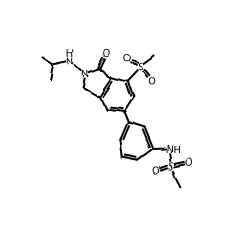 CC(C)NN1Cc2cc(-c3cccc(NS(C)(=O)=O)c3)cc(S(C)(=O)=O)c2C1=O